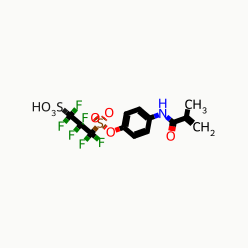 C=C(C)C(=O)Nc1ccc(OS(=O)(=O)C(F)(F)C(F)(F)C(F)(F)S(=O)(=O)O)cc1